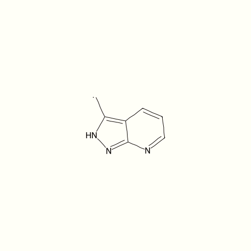 [CH2]c1[nH]nc2ncccc12